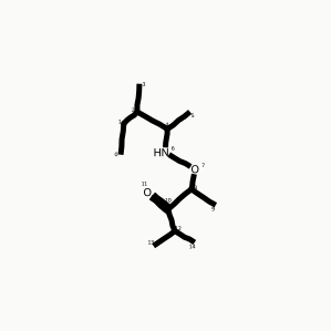 CCC(C)C(C)NOC(C)C(=O)C(C)C